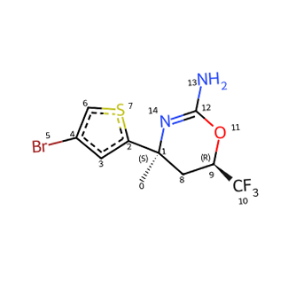 C[C@@]1(c2cc(Br)cs2)C[C@H](C(F)(F)F)OC(N)=N1